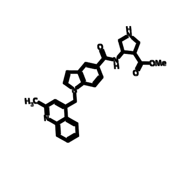 COC(=O)C1CNCC1NC(=O)c1ccc2c(ccn2Cc2cc(C)nc3ccccc23)c1